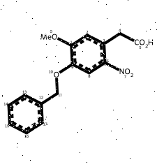 COc1cc(CC(=O)O)c([N+](=O)[O-])cc1OCc1ccccc1